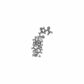 CN(C)C(=O)c1cnn(CC(=O)[C@H]2CC[C@H]3[C@@H]4CC[C@@]5(C)C[C@](C)(O)CC[C@]5(C)[C@H]4CC[C@]23C)c1